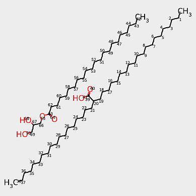 CCCCCCCCCCCCCCCCCCCCC(CCCCCCCCCCCCCCCCCC)C(=O)O.CCCCCCCCCCCCCCCCCCCCCC(=O)OCC(O)CO